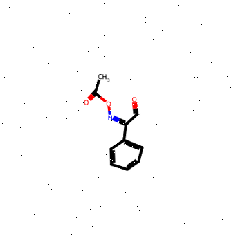 CC(=O)ON=C([C]=O)c1ccccc1